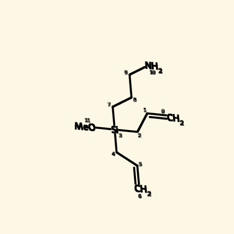 C=CC[Si](CC=C)(CCCN)OC